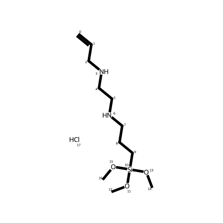 C=CCNCCNCCC[Si](OC)(OC)OC.Cl